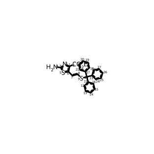 CCOC(=O)c1nc(N)sc1C=CSC(c1ccccc1)(c1ccccc1)c1ccccc1